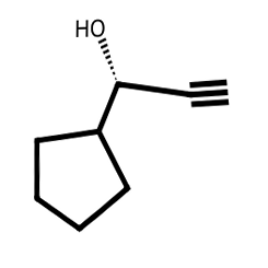 C#C[C@@H](O)C1CCCC1